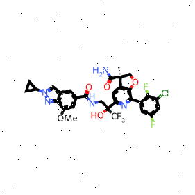 COc1cc(C(=O)NCC(O)(c2cc3c(c(-c4cc(F)cc(Cl)c4F)n2)OC[C@]3(C)C(N)=O)C(F)(F)F)cc2cn(C3CC3)nc12